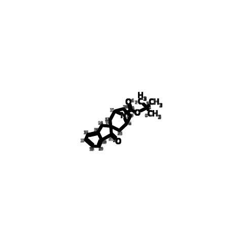 CC(C)(C)OC(=O)N1C2CCC1CC1(Cc3ccccc3C1=O)C2